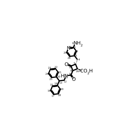 Nc1cc(C[C@H]2C(=O)C(C(=O)NCC(c3ccccc3)c3ccccc3)[C@@H]2C(=O)O)ccn1